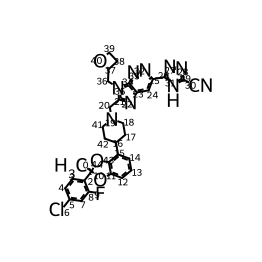 CC1(c2ccc(Cl)cc2F)Oc2cccc(C3CCN(Cc4nc5cc(-c6nnc(C#N)[nH]6)nnc5n4CC4CCO4)CC3)c2O1